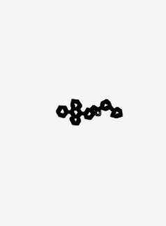 c1ccc(-c2cccc(-c3cc4cc(-c5c6ccccc6c(-c6ccccc6)c6ccccc56)ccc4o3)c2)cc1